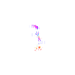 Cn1c(=O)n(C2CCC(=O)NC2=O)c2ccc(C3CCN(C(=O)Nc4cccc(CS(=O)(=O)N5CCC(Nc6cccc(-c7sc(C(=O)OC(C)(C)C)c(OCC(=O)OC(C)(C)C)c7Cl)c6)CC5(C)C)c4F)CC3)cc21